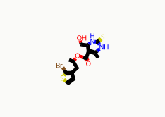 CC1=C(C(=O)OC(C)Cc2ccsc2Br)C(CO)NC(=S)N1